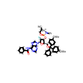 COc1ccc(C(OC[C@H]2O[C@@H](n3cnc4c(NC(=O)c5ccccc5)ncnc43)[C@@H](F)[C@@H]2OP(OCCC#N)N(C(C)C)C(C)C)(c2ccccc2)c2ccc(OC)cc2)cc1